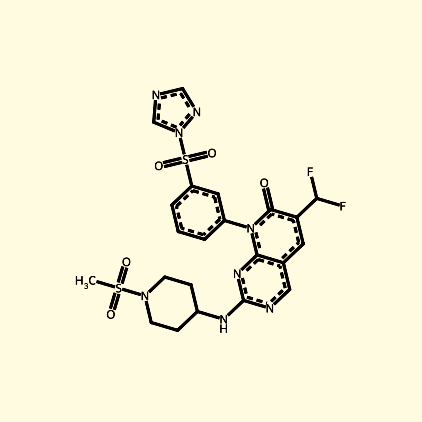 CS(=O)(=O)N1CCC(Nc2ncc3cc(C(F)F)c(=O)n(-c4cccc(S(=O)(=O)n5cncn5)c4)c3n2)CC1